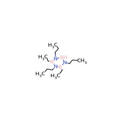 CCCN1BN(CCC)B(CC)N(CCC)B1CC